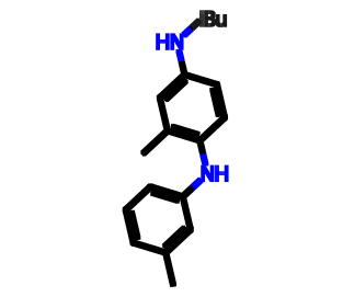 CCC(C)Nc1ccc(Nc2cccc(C)c2)c(C)c1